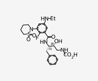 CCNc1cc(C(=O)N[C@@H](Cc2ccccc2)[C@H](O)CNC(=O)O)c(F)c(N2CCCCS2(=O)=O)c1